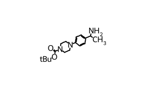 CC(N)c1ccc(N2CCN(C(=O)OC(C)(C)C)CC2)cc1